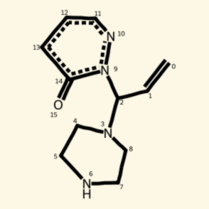 C=CC(N1CCNCC1)n1ncccc1=O